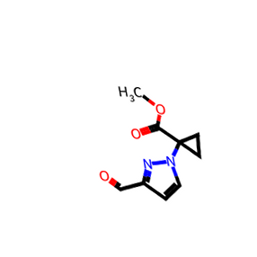 COC(=O)C1(n2ccc(C=O)n2)CC1